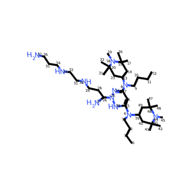 CCCCN(C1=CC(N(CCCC)C2CC(C)(C)N(C)C(C)(C)C2)=NN(C(N)CCNCCNCCCN)N1)C1CC(C)(C)N(C)C(C)(C)C1